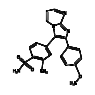 COc1ccc(-c2nc3ncccn3c2-c2ccc(S(N)(=O)=O)c(C)c2)cc1